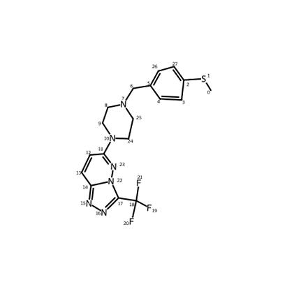 CSc1ccc(CN2CCN(c3ccc4nnc(C(F)(F)F)n4n3)CC2)cc1